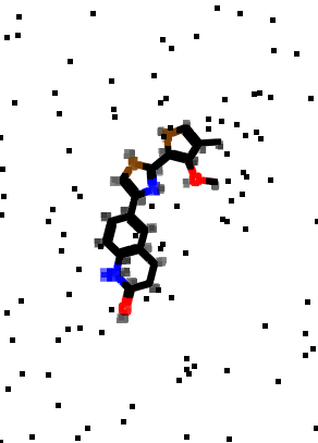 COc1c(C)csc1-c1nc(-c2ccc3c(c2)CCC(=O)N3)cs1